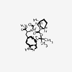 CC(C)(C)OC(=O)N1[C@@H]2CC[C@@H](C2)[C@H]1C(=O)NC(Cc1ccc2cn[nH]c2c1)C(N)=O